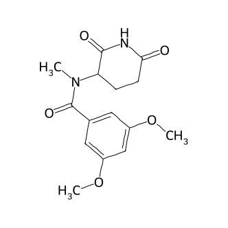 COc1cc(OC)cc(C(=O)N(C)C2CCC(=O)NC2=O)c1